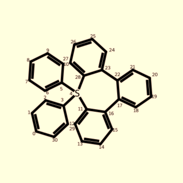 c1ccc(S2(c3ccccc3)c3ccccc3-c3ccccc3-c3ccccc32)cc1